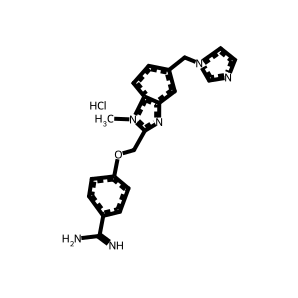 Cl.Cn1c(COc2ccc(C(=N)N)cc2)nc2cc(Cn3ccnc3)ccc21